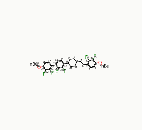 CCCCOc1ccc(CCC2CCC(c3ccc(-c4ccc(OCCCC)c(F)c4F)c(F)c3F)CC2)c(F)c1F